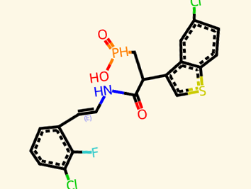 O=C(N/C=C/c1cccc(Cl)c1F)C(C[PH](=O)O)c1csc2ccc(Cl)cc12